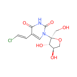 O=c1[nH]c(=O)n([C@@]2(CO)OC[C@@H](O)[C@@H]2O)cc1/C=C/Cl